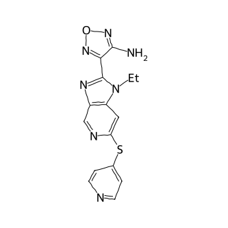 CCn1c(-c2nonc2N)nc2cnc(Sc3ccncc3)cc21